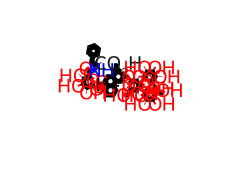 C=C1C[C@]23CC[C@@H]4[C@](C)(C(=O)OC5O[C@H](C(=O)N[C@H](Cc6ccccc6)C(=O)O)[C@@H](O)[C@H](O)[C@H]5O)CCC[C@@]4(C)C2CC(O[C@@H]2O[C@H](CO)[C@@H](O)C(O[C@@H]4O[C@H](CO)[C@@H](O)[C@H](O)[C@H]4O)[C@H]2O[C@@H]2O[C@H](CO)[C@@H](O)[C@H](O)[C@H]2O)C1C3